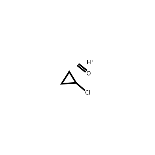 C=O.ClC1CC1.[H+]